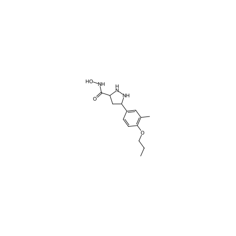 CCCOc1ccc(C2CC(C(=O)NO)NN2)cc1C